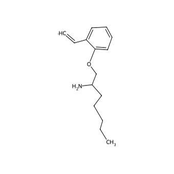 [CH]=Cc1ccccc1OCC(N)CCCCC